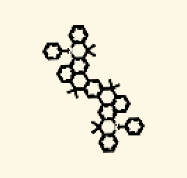 CC1(C)c2ccccc2N(c2ccccc2)c2c1cc1c3c(cccc23)C(C)(C)c2cc3c(cc2-1)C(C)(C)c1cccc2c4c(cc-3c12)C(C)(C)c1ccccc1N4c1ccccc1